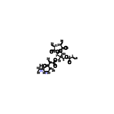 C=CC(=O)OCC(COC(=O)C=C)(COC(=O)C=C)COC(=O)C(=C)C(O)C(=C)/C=C\C=C/C